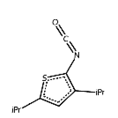 CC(C)c1cc(C(C)C)c(N=C=O)s1